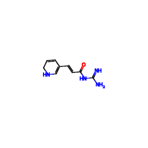 N=C(N)NC(=O)/C=C/C1=CNCC=C1